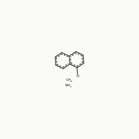 C.Clc1cccc2ccccc12.N